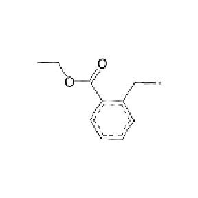 [CH2]Cc1ccccc1C(=O)OCC